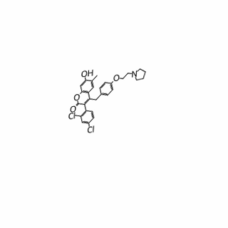 Cc1cc2c(Cc3ccc(OCCN4CCCC4)cc3)c(-c3ccc(Cl)cc3Cl)c(=O)oc2cc1O